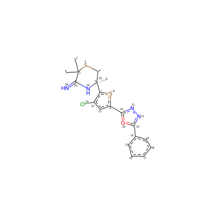 CC1(C)SC[C@@](C)(c2sc(-c3nnc(-c4ccccc4)o3)cc2Cl)NC1=N